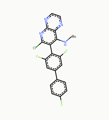 CCC(C)Nc1c(-c2c(F)cc(-c3ccc(F)cc3)cc2F)c(Cl)nc2nccnc12